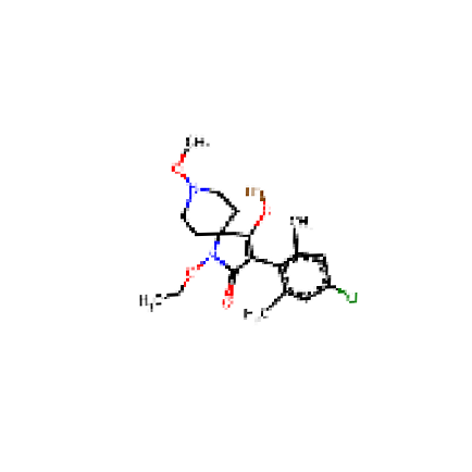 CCON1C(=O)C(c2c(C)cc(Cl)cc2C)=C(OS)C12CCN(OC)CC2